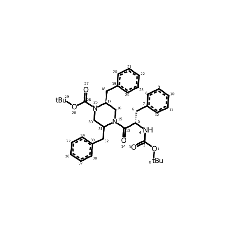 CC(C)(C)OC(=O)N[C@@H](Cc1ccccc1)C(=O)N1C[C@H](Cc2ccccc2)N(C(=O)OC(C)(C)C)CC1Cc1ccccc1